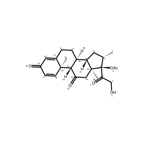 CC(=O)O[C@]1(C(=O)CO)[C@@H](C)C[C@H]2[C@@H]3CCC4=CC(=O)C=C[C@]4(C)[C@H]3C(=O)C[C@@]21C